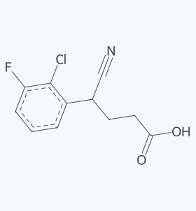 N#CC(CCC(=O)O)c1cccc(F)c1Cl